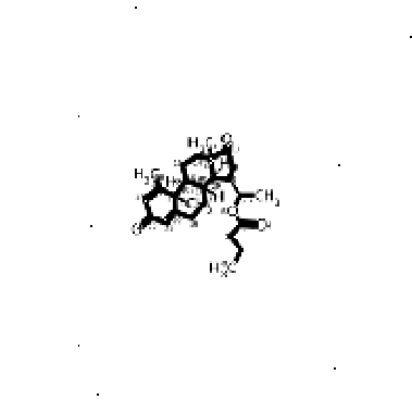 CCCC(=O)OC(C)[C@@H]1CC(=O)[C@@]2(C)CC[C@H]3[C@@H](CCC4=CC(=O)C=C(C)[C@@]43C)[C@H]12